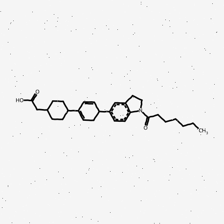 CCCCCCC(=O)N1CCc2cc(C3C=CC(C4CCC(CC(=O)O)CC4)=CC3)ccc21